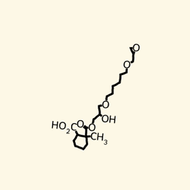 CC1(C(=O)OCC(O)COCCCCCCOCC2CO2)CCCCC1C(=O)O